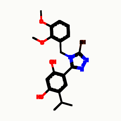 COc1cccc(Cn2c(S)nnc2-c2cc(C(C)C)c(O)cc2O)c1OC